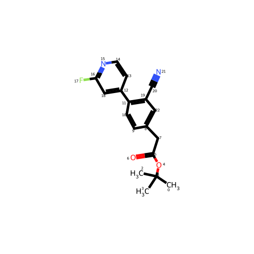 CC(C)(C)OC(=O)Cc1ccc(-c2ccnc(F)c2)c(C#N)c1